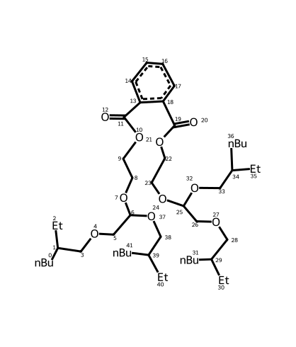 CCCCC(CC)COCC(OCCOC(=O)c1ccccc1C(=O)OCCOC(COCC(CC)CCCC)OCC(CC)CCCC)OCC(CC)CCCC